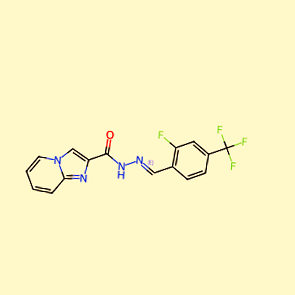 O=C(N/N=C/c1ccc(C(F)(F)F)cc1F)c1cn2ccccc2n1